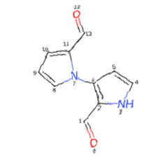 O=Cc1[nH]ccc1-n1cccc1C=O